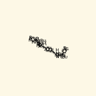 CC(C)(C)[C@H](NC(=O)C1CCC(F)(F)CC1)c1ncc(C#Cc2ccc3cc(C#Cc4cnc([C@@H](NC(=O)C5CCC(F)(F)CC5)C(C)(C)C)[nH]4)ccc3c2)[nH]1